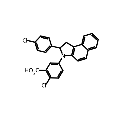 O=C(O)c1cc(N2c3ccc4ccccc4c3CC2c2ccc(Cl)cc2)ccc1Cl